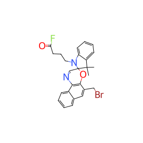 CC1(C)c2ccccc2N(CCCC(=O)F)C12C=Nc1c(c(CBr)cc3ccccc13)O2